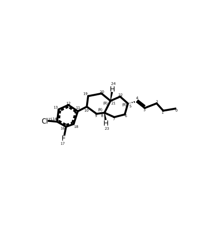 CCCC=C[C@@H]1CC[C@@H]2CC(c3ccc(Cl)c(F)c3)CC[C@@H]2C1